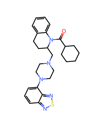 O=C(C1CCCCC1)N1c2ccccc2CCC1CN1CCN(c2cccc3nsnc23)CC1